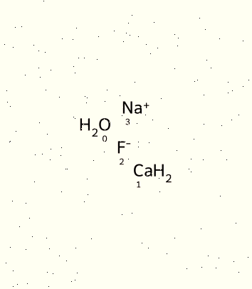 O.[CaH2].[F-].[Na+]